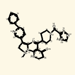 CN1CC(c2ccc(-c3ccccc3)nc2)=C2N=C(C3CCN(C(=O)c4nnc[nH]4)CC3)C3=C(NCCC3=O)N21